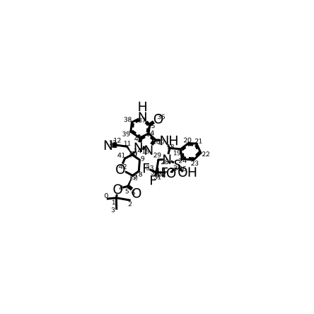 CC(C)(C)OC(=O)[C@@H]1CC[C@@](CC#N)(n2nc(NC3c4ccccc4S(O)(O)N3CC(F)(F)F)c3c(=O)[nH]ccc32)CO1